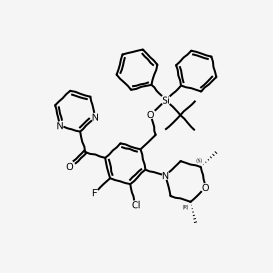 C[C@@H]1CN(c2c(CO[Si](c3ccccc3)(c3ccccc3)C(C)(C)C)cc(C(=O)c3ncccn3)c(F)c2Cl)C[C@H](C)O1